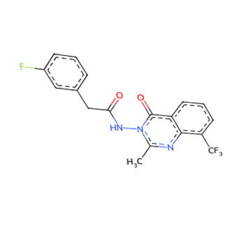 Cc1nc2c(C(F)(F)F)cccc2c(=O)n1NC(=O)Cc1cccc(F)c1